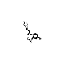 CCOCCNc1ccc(Br)cc1[N+](=O)[O-]